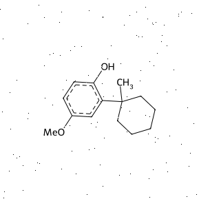 COc1ccc(O)c(C2(C)CCCCC2)c1